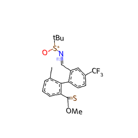 COC(=S)c1cccc(C)c1-c1ccc(C(F)(F)F)cc1/C=N/[S+]([O-])C(C)(C)C